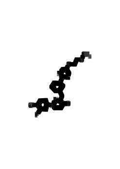 COCCOc1cnc(-c2cccc(Cc3nn(-c4ccc(Cl)c(F)c4)ccc3=O)c2)nc1